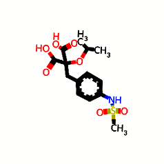 CC(C)OC(Cc1ccc(NS(C)(=O)=O)cc1)(C(=O)O)C(=O)O